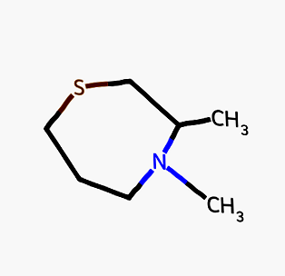 CC1CSCCCN1C